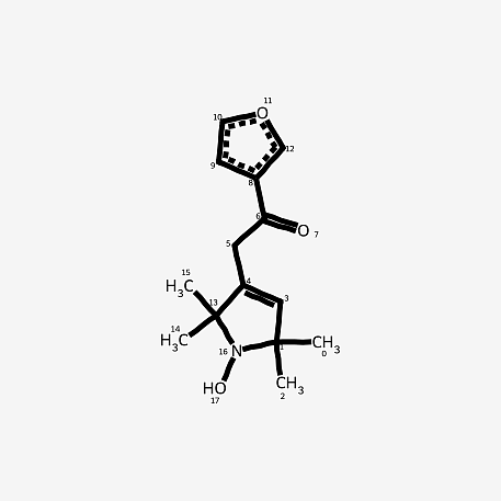 CC1(C)C=C(CC(=O)c2ccoc2)C(C)(C)N1O